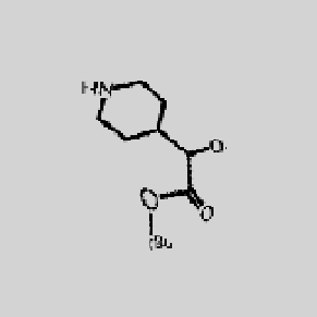 CC(C)(C)OC(=O)C([O])C1CCNCC1